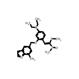 CCN(CC)c1ccc(/C=C(\SC)[S+](C)[O-])c(OCc2cc(C)c3occc3c2)c1